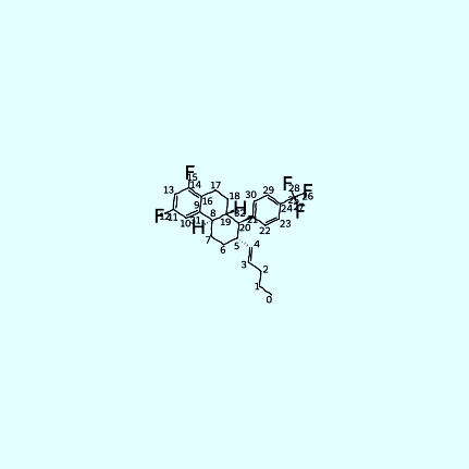 CCC/C=C/[C@@H]1CC[C@H]2c3cc(F)cc(F)c3CC[C@@H]2[C@H]1c1ccc(C(F)(F)F)cc1